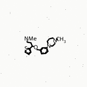 CNCCC(OCc1cccc(N2CCCN(C)CC2)c1)c1cccs1